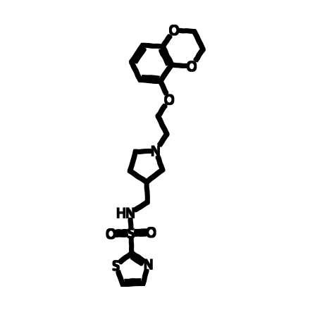 O=S(=O)(NCC1CCN(CCOc2cccc3c2OCCO3)C1)c1nccs1